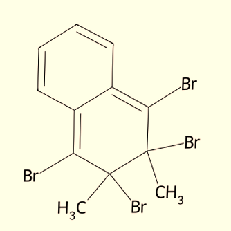 CC1(Br)C(Br)=c2ccccc2=C(Br)C1(C)Br